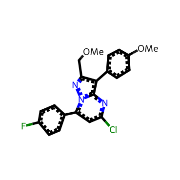 COCc1nn2c(-c3ccc(F)cc3)cc(Cl)nc2c1-c1ccc(OC)cc1